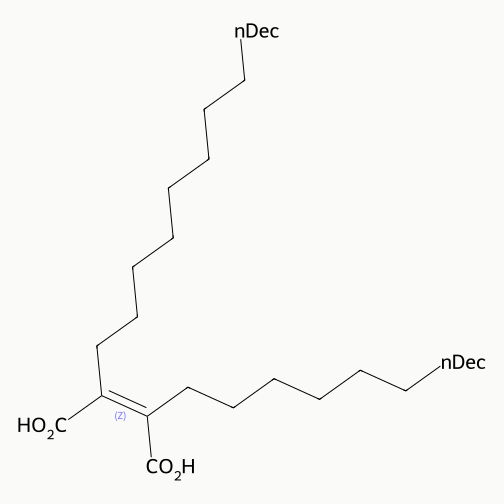 CCCCCCCCCCCCCCCCCC/C(C(=O)O)=C(\CCCCCCCCCCCCCCCC)C(=O)O